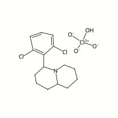 Clc1cccc(Cl)c1C1CCCC2CCCCN21.[O-][Cl+3]([O-])([O-])O